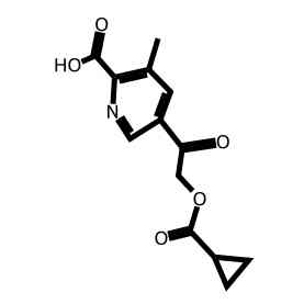 Cc1cc(C(=O)COC(=O)C2CC2)cnc1C(=O)O